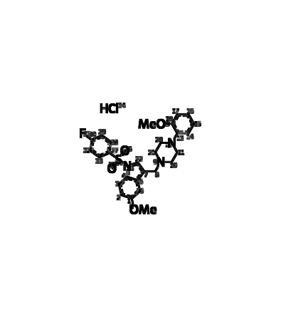 COc1ccc2c(c1)c(CN1CCN(c3ccccc3OC)CC1)cn2S(=O)(=O)c1ccc(F)cc1.Cl